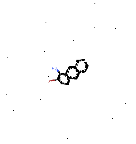 Nc1c(Br)ccc2cc3ccccc3cc12